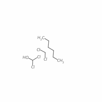 CCCCCC.ClCCl.OC(Cl)Cl